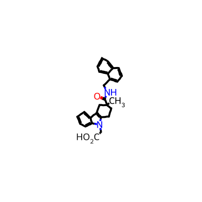 CC1(C(=O)NCc2cccc3ccccc23)CCc2c(c3ccccc3n2CC(=O)O)C1